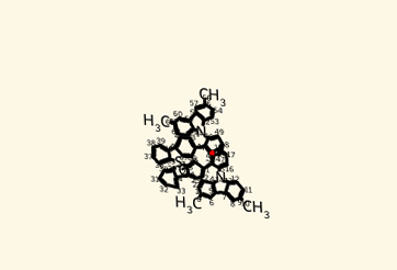 Cc1ccc2c(c1)c1cc(C)ccc1n2-c1ccccc1-c1ccc2c(c1)S1(=O)(c3ccccc3-2)c2ccccc2-c2ccc(-c3ccccc3-n3c4ccc(C)cc4c4cc(C)ccc43)cc21